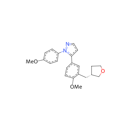 COc1ccc(-n2nccc2-c2ccc(OC)c(C[C@@H]3CCOC3)c2)cc1